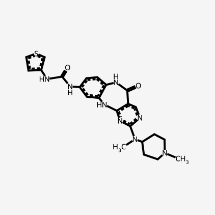 CN1CCC(N(C)c2ncc3c(n2)Nc2cc(NC(=O)Nc4ccsc4)ccc2NC3=O)CC1